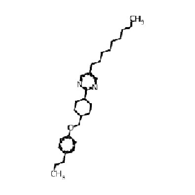 CCCCCCCCCc1cnc(C2CCC(COc3ccc(CCC)cc3)CC2)nc1